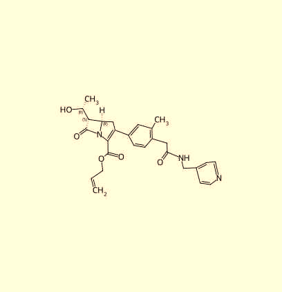 C=CCOC(=O)C1=C(c2ccc(CC(=O)NCc3ccncc3)c(C)c2)C[C@@H]2[C@@H]([C@@H](C)O)C(=O)N12